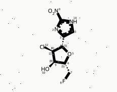 O=[N+]([O-])c1nc([C@@H]2O[C@H](CF)[C@@H](O)[C@H]2Cl)c[nH]1